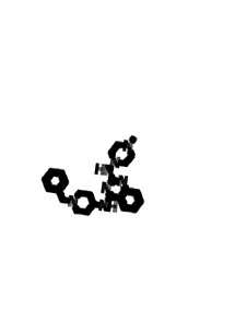 CN1CCN(Nc2nc(NC3CCN(Cc4ccccc4)CC3)c3ccccc3n2)CC1